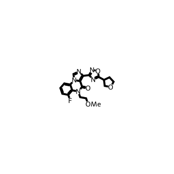 COCCn1c(=O)c2c(-c3noc(C4CCOC4)n3)ncn2c2cccc(F)c21